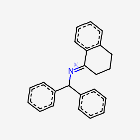 c1ccc(C(/N=C2\CCCc3ccccc32)c2ccccc2)cc1